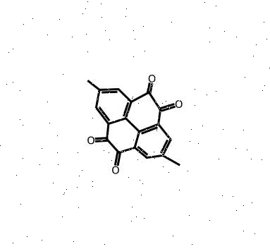 Cc1cc2c3c(c1)c(=O)c(=O)c1cc(C)cc(c1-3)c(=O)c2=O